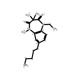 CCN1C(=O)C(C)(C)C(=O)N(C)c2cc(CCCCN)ccc21